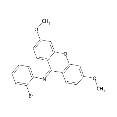 COc1ccc2c(=Nc3ccccc3Br)c3ccc(OC)cc3oc2c1